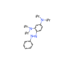 CC(C)N(c1ccc(N=Nc2ccccc2)c(N(C(C)C)C(C)C)c1)C(C)C